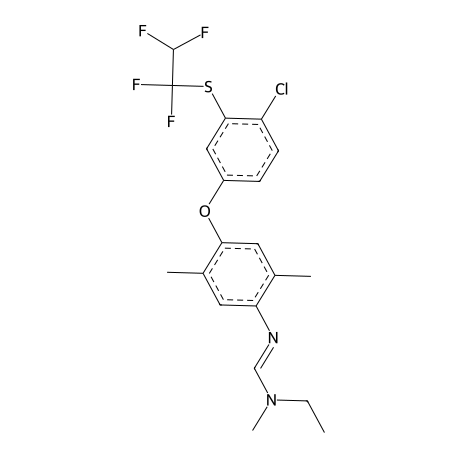 CCN(C)/C=N/c1cc(C)c(Oc2ccc(Cl)c(SC(F)(F)C(F)F)c2)cc1C